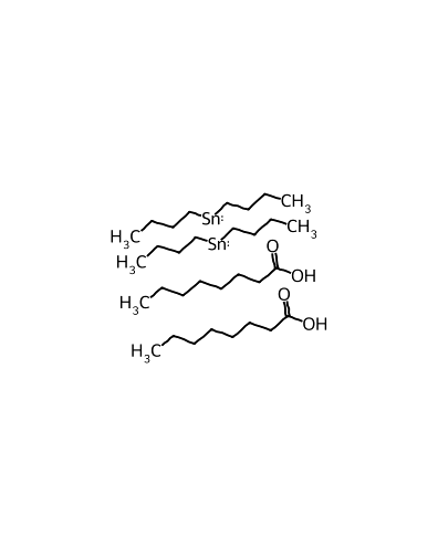 CCCCCCCC(=O)O.CCCCCCCC(=O)O.CCC[CH2][Sn][CH2]CCC.CCC[CH2][Sn][CH2]CCC